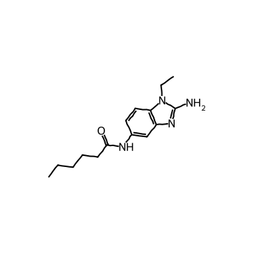 CCCCCC(=O)Nc1ccc2c(c1)nc(N)n2CC